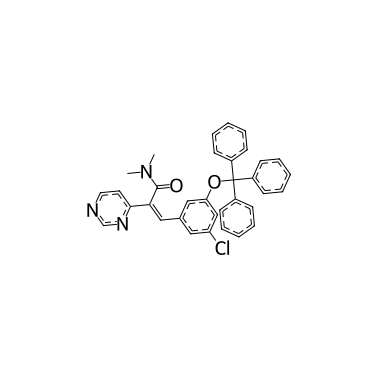 CN(C)C(=O)C(=Cc1cc(Cl)cc(OC(c2ccccc2)(c2ccccc2)c2ccccc2)c1)c1ccncn1